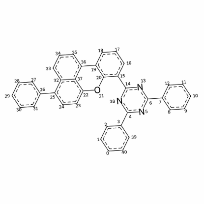 c1ccc(-c2nc(-c3ccccc3)nc(-c3cccc4c3Oc3ccc(-c5ccccc5)c5cccc-4c35)n2)cc1